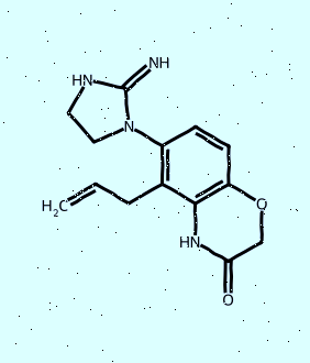 C=CCc1c(N2CCNC2=N)ccc2c1NC(=O)CO2